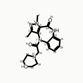 Cc1nn(C)c2c1N(C(=O)CN1CCOCC1)c1ccccc1NC2=O